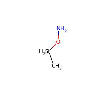 C[SiH2]ON